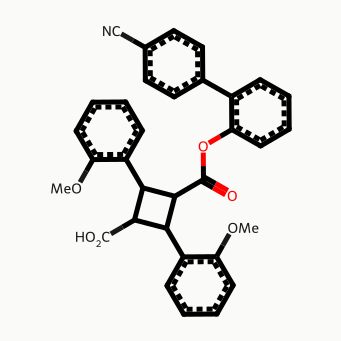 COc1ccccc1C1C(C(=O)O)C(c2ccccc2OC)C1C(=O)Oc1ccccc1-c1ccc(C#N)cc1